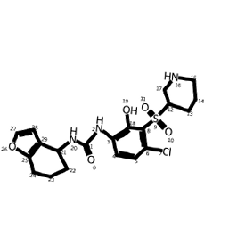 O=C(Nc1ccc(Cl)c(S(=O)(=O)C2CCCNC2)c1O)NC1CCCc2occc21